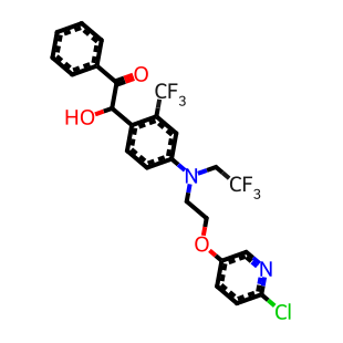 O=C(c1ccccc1)C(O)c1ccc(N(CCOc2ccc(Cl)nc2)CC(F)(F)F)cc1C(F)(F)F